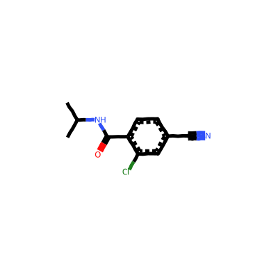 CC(C)NC(=O)c1ccc(C#N)cc1Cl